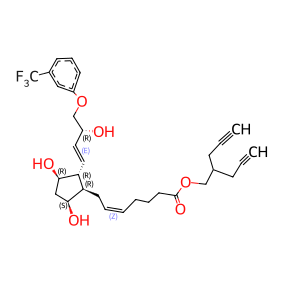 C#CCC(CC#C)COC(=O)CCC/C=C\C[C@@H]1[C@@H](/C=C/[C@@H](O)COc2cccc(C(F)(F)F)c2)[C@H](O)C[C@@H]1O